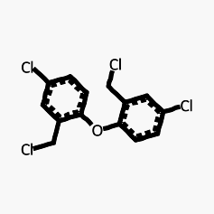 ClCc1cc(Cl)ccc1Oc1ccc(Cl)cc1CCl